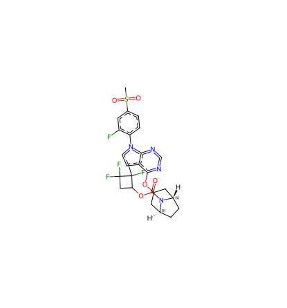 CC1(F)C(OC(=O)N2[C@H]3CC[C@H]2CC(Oc2ncnc4c2ccn4-c2ccc(S(C)(=O)=O)cc2F)C3)CC1(F)F